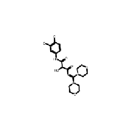 O=C(N=C(N1CCOCC1)N1CCOCC1)C(O)C(=O)Nc1ccc(Cl)c(Cl)c1